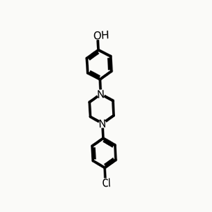 Oc1ccc(N2CCN(c3ccc(Cl)cc3)CC2)cc1